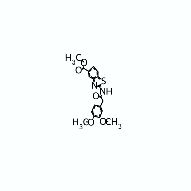 COC(=O)c1ccc2sc(NC(=O)Cc3ccc(OC)c(OC)c3)nc2c1